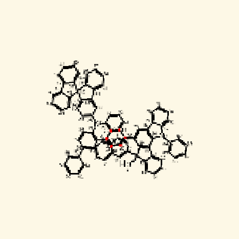 CC1(c2ccc3ccccc3c2)c2ccccc2-c2c1c(-c1cccc3c(N(c4ccc5c(c4)-c4ccccc4C54c5ccccc5-c5ccccc54)c4ccc(-c5ccccc5)cc4-c4ccccc4)cccc13)cc1c3ccccc3n(-c3ccccc3)c21